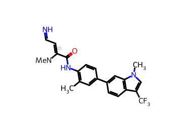 CN/C(=C\C=N)C(=O)Nc1ccc(-c2ccc3c(C(F)(F)F)cn(C)c3c2)cc1C